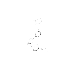 N[C@H]1CC[C@H](Nc2cc(-c3ccnc(NCC4CCOCC4)c3)ccn2)CC1